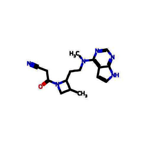 CC1CN(C(=O)CC#N)C1CCN(C)c1ncnc2[nH]ccc12